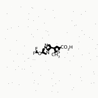 Cc1sc(C(=O)O)cc1-c1cnn2cc(OC(F)F)cnc12